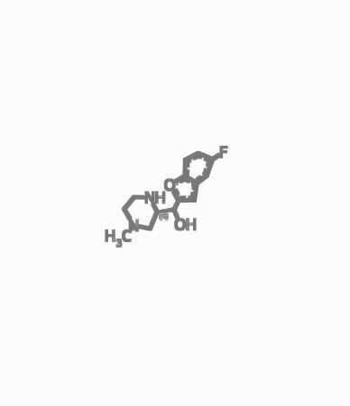 CN1CCN[C@@H](C(O)c2cc3cc(F)ccc3o2)C1